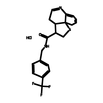 Cl.O=C(NCc1ccc(C(F)(F)F)cc1)C1CSC23CC=CC=C2N=CCC13